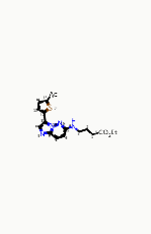 CCOC(=O)CCCNc1ccc2ncc(-c3ccc(C(C)=O)s3)n2n1